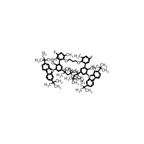 Cc1cc(F)cc(-c2cc(C(C)(C)CC(C)(C)C)cc(-n3c4cc(C(C)(C)C)ccc4c4ccc(C(C)(C)C)cc43)c2O)c1OCCCOc1c(C)cc(F)cc1-c1cc(C(C)(C)CC(C)(C)C)cc(-n2c3cc(C(C)(C)C)ccc3c3ccc(C(C)(C)C)cc32)c1[O][Hf+3]